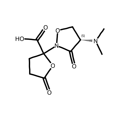 CN(C)[C@H]1CON(C2(C(=O)O)CCC(=O)O2)C1=O